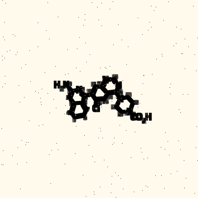 Nc1cc2ccccc2c(-c2cc3ncnc(N4CCN(C(=O)O)CC4)c3cc2Cl)n1